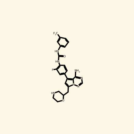 Nc1ncnn2c(CC3CNCCO3)cc(-c3ccc(NC(=O)Nc4cccc(C(F)(F)F)c4)c(F)c3)c12